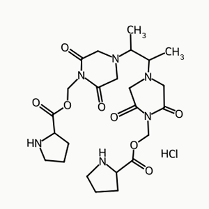 CC(C(C)N1CC(=O)N(COC(=O)C2CCCN2)C(=O)C1)N1CC(=O)N(COC(=O)C2CCCN2)C(=O)C1.Cl